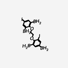 Bc1cc(B)c(OCCOc2c(B)cc(I)cc2B)c(I)c1